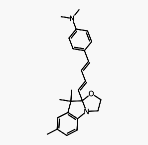 Cc1ccc2c(c1)C(C)(C)C1(/C=C/C=C/c3ccc(N(C)C)cc3)OCCN21